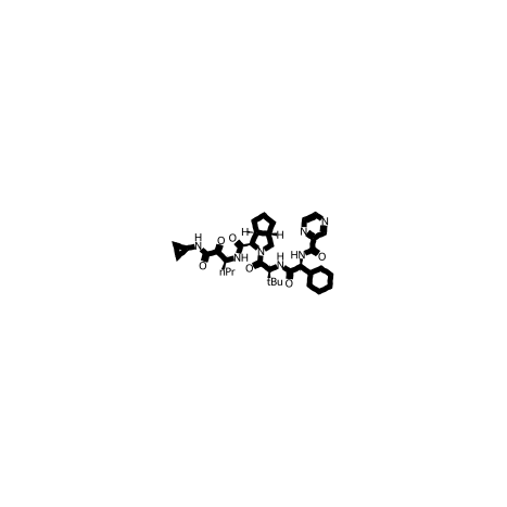 CCC[C@H](NC(=O)[C@H]1[C@H]2CCC[C@@H]2CN1C(=O)[C@@H](NC(=O)[C@@H](NC(=O)c1cnccn1)C1CCCCC1)C(C)(C)C)C(=O)C(=O)NC1CC1